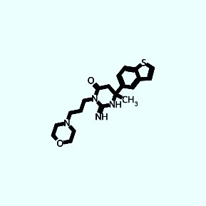 CC1(c2ccc3sccc3c2)CC(=O)N(CCCN2CCOCC2)C(=N)N1